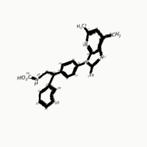 CCc1nc2c(C)cc(C)nc2n1-c1ccc(C(CNC(=O)O)c2ccccc2)cc1